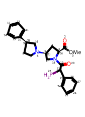 COC(=O)[C@@H]1C[C@H](N2CC[C@@H](c3ccccc3)C2)CN1C(=O)C(P)c1ccccc1